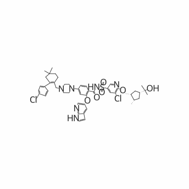 C[C@H]1C[C@@H](C(C)(C)O)C[C@H]1COc1ncc(S(=O)(=O)NC(=O)c2ccc(N3CCN(CC4=C(c5ccc(Cl)cc5)CC(C)(C)CC4)CC3)cc2Oc2cnc3[nH]ccc3c2)cc1Cl